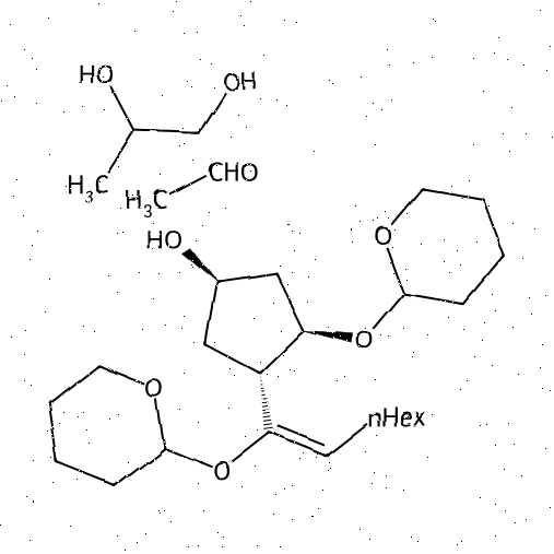 CC(O)CO.CC=O.CCCCCC/C=C(/OC1CCCCO1)[C@@H]1C[C@@H](O)C[C@H]1OC1CCCCO1